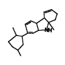 CC1CCC(C)C(C2=CC3NC4(C)CCC=CC4C3C=C2)C1